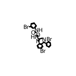 O=C(Nc1cccc(Br)c1)ONC1=Nc2ccc(Br)cc2C(c2ccccc2Br)=NC1